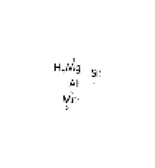 [Al].[MgH2].[Mn].[Si]